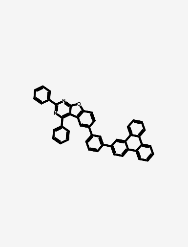 c1ccc(-c2nc(-c3ccccc3)c3c(n2)oc2ccc(-c4cccc(-c5ccc6c7ccccc7c7ccccc7c6c5)c4)cc23)cc1